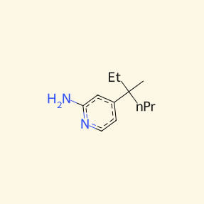 CCCC(C)(CC)c1ccnc(N)c1